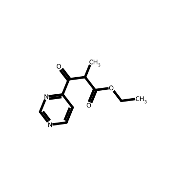 CCOC(=O)C(C)C(=O)c1ccncn1